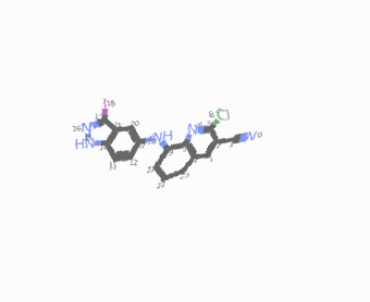 N#Cc1cc2c(nc1Cl)C(Nc1ccc3[nH]nc(I)c3c1)CCC2